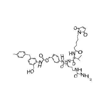 Cc1ccc(Cc2ccc(CO)c(NC(=O)OCc3ccc(NC(=O)[C@H](CCCNC(N)=O)NC(=O)[C@@H](NC(=O)CCCCCN4C(=O)C=CC4=O)C(C)C)cc3)c2)cc1